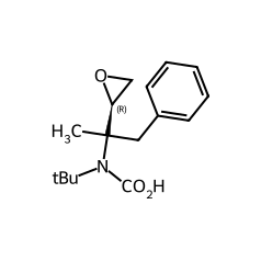 CC(C)(C)N(C(=O)O)C(C)(Cc1ccccc1)[C@@H]1CO1